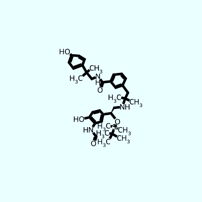 CC(C)(Cc1cccc(C(=O)NCC(C)(C)c2ccc(O)cc2)c1)NC[C@@H](O[Si](C)(C)C(C)(C)C)c1ccc(O)c(NC=O)c1